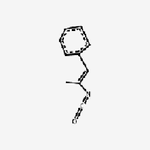 C/C(=C\c1ccccc1)N=C=O